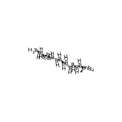 BBBBBBBBBBBBBBBB(C)CCCC